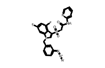 [N-]=[N+]=Nc1cccc(Cn2cc(S(=O)(=O)CC(=O)Nc3ccccn3)c3c(F)cc(F)cc32)c1